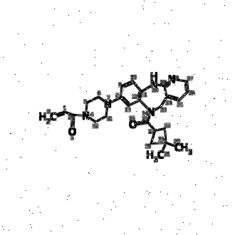 C=CC(=O)N1CCN(c2ccc3c(c2)N(C(=O)C2CC(C)(C)C2)Cc2cccnc2N3)CC1